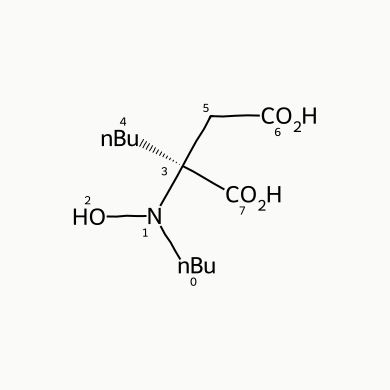 CCCCN(O)[C@@](CCCC)(CC(=O)O)C(=O)O